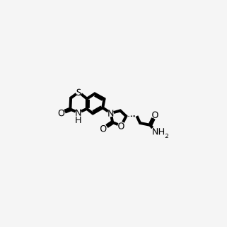 NC(=O)CC[C@H]1CN(c2ccc3c(c2)NC(=O)CS3)C(=O)O1